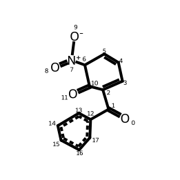 O=C(C1=CC=CC([N+](=O)[O-])C1=O)c1ccccc1